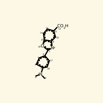 CN(C)c1ccc(-c2nc3cc(C(=O)O)ccc3o2)cc1